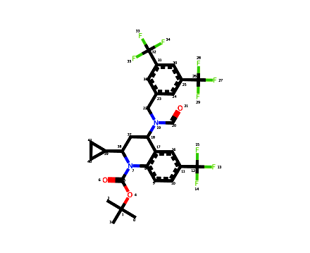 CC(C)(C)OC(=O)N1c2ccc(C(F)(F)F)cc2C(N(C=O)Cc2cc(C(F)(F)F)cc(C(F)(F)F)c2)CC1C1CC1